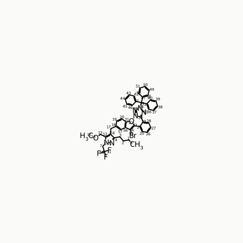 CCCCc1nn(CC(F)(F)F)c(COC)c1Cc1ccc2oc(-c3ccccc3-c3nnn(C(c4ccccc4)(c4ccccc4)c4ccccc4)n3)c(Br)c2c1